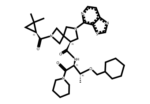 C[C@@H](OCC1CCCCC1)[C@H](NC(=O)[C@@H]1CN(c2nccc3ncsc23)CC12CN(C(=O)[C@H]1CC1(C)C)C2)C(=O)N1CCCCC1